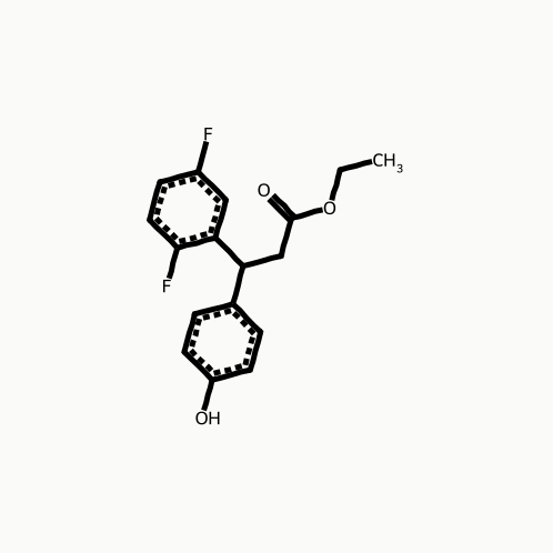 CCOC(=O)CC(c1ccc(O)cc1)c1cc(F)ccc1F